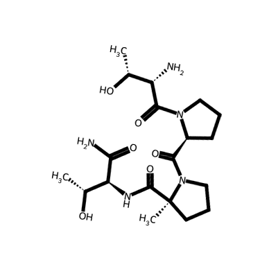 C[C@@H](O)[C@H](N)C(=O)N1CCC[C@H]1C(=O)N1CCC[C@@]1(C)C(=O)N[C@H](C(N)=O)[C@@H](C)O